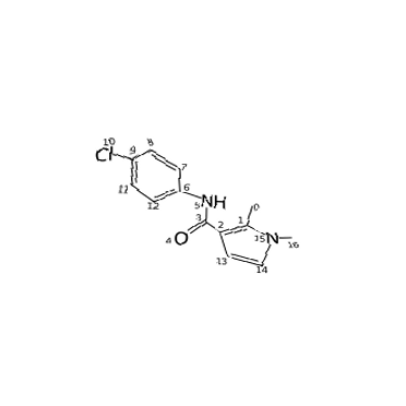 Cc1c(C(=O)Nc2ccc(Cl)cc2)ccn1C